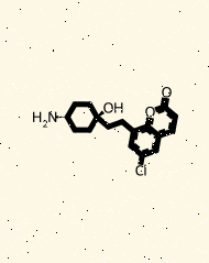 N[C@H]1CC[C@@](O)(CCc2cc(Cl)cc3ccc(=O)oc23)CC1